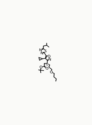 CCCCOCCC[C@@H](CC(=O)OC(C)(C)C)c1noc(-c2nnc(CC(C)C)s2)c1C1CC1